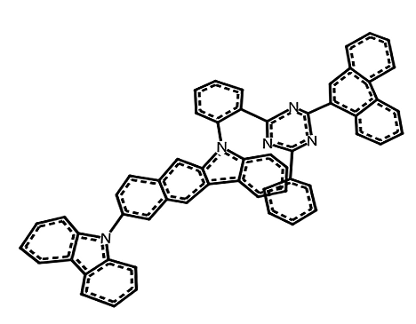 c1ccc(-c2nc(-c3ccccc3-n3c4ccccc4c4cc5cc(-n6c7ccccc7c7ccccc76)ccc5cc43)nc(-c3cc4ccccc4c4ccccc34)n2)cc1